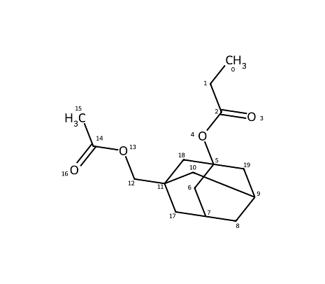 CCC(=O)OC12CC3CC(CC(COC(C)=O)(C3)C1)C2